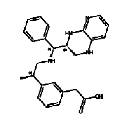 C[C@@H](CN[C@H](c1ccccc1)[C@H]1CNc2cccnc2N1)c1cccc(CC(=O)O)c1